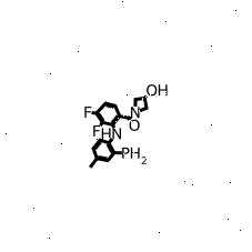 Cc1ccc(Nc2c(C(=O)N3CC(O)C3)ccc(F)c2F)c(P)c1